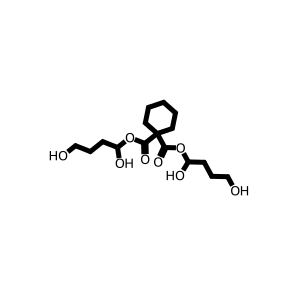 O=C(OC(O)CCCO)C1(C(=O)OC(O)CCCO)CCCCC1